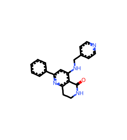 O=C1NCCc2nc(-c3ccccc3)cc(NCc3ccncc3)c21